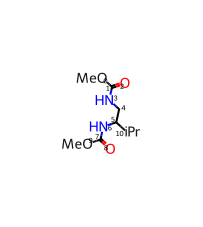 COC(=O)NCC(NC(=O)OC)C(C)C